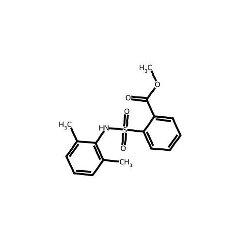 COC(=O)c1ccccc1S(=O)(=O)Nc1c(C)cccc1C